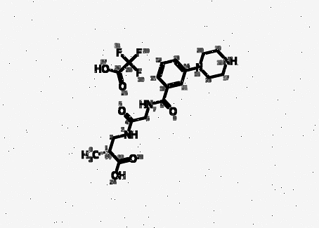 C[C@H](CNC(=O)CNC(=O)c1cccc(N2CCNCC2)c1)C(=O)O.O=C(O)C(F)(F)F